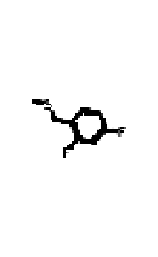 CSCc1ccc(F)cc1F